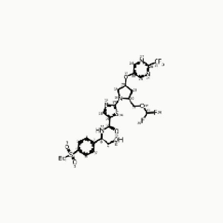 CCS(=O)(=O)c1ccc([C@H](CO)NC(=O)c2cnc(N3C[C@@H](Oc4cnc(C(F)(F)F)nc4)C[C@H]3COC(F)F)s2)cc1